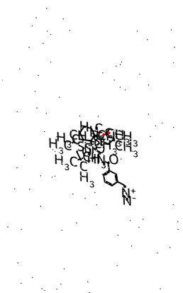 CC(C)[Si]1(CC(C)(C)C)O[Si]2(CNC(=O)c3cccc(C=[N+]=[N-])c3)O[Si](CC(C)(C)C)(C(C)C)C3(C)CCCC1(C)C32C